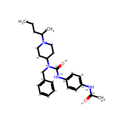 CCCC(C)N1CCC(N(Cc2ccccc2)C(=O)Nc2ccc(NC(C)=O)cc2)CC1